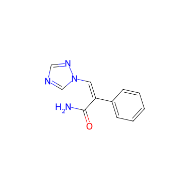 NC(=O)C(=Cn1cncn1)c1ccccc1